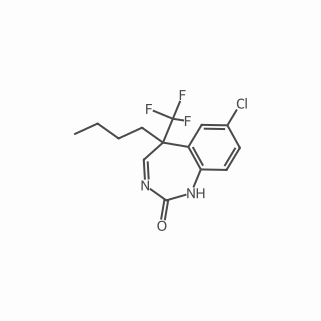 CCCCC1(C(F)(F)F)C=NC(=O)Nc2ccc(Cl)cc21